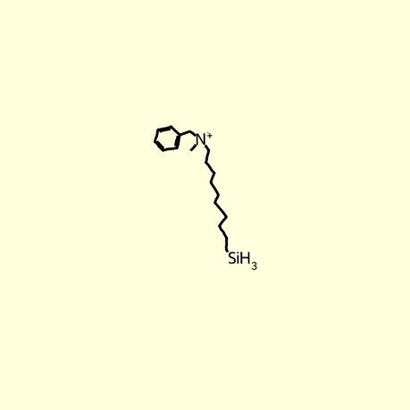 C[N+](C)(CCCCCCCCCC[SiH3])Cc1ccccc1